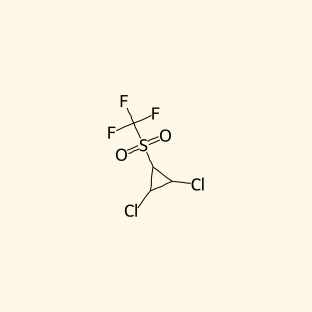 O=S(=O)(C1C(Cl)C1Cl)C(F)(F)F